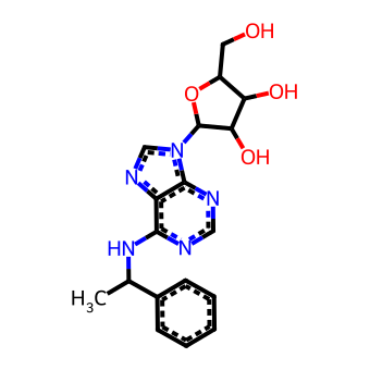 CC(Nc1ncnc2c1ncn2C1OC(CO)C(O)C1O)c1ccccc1